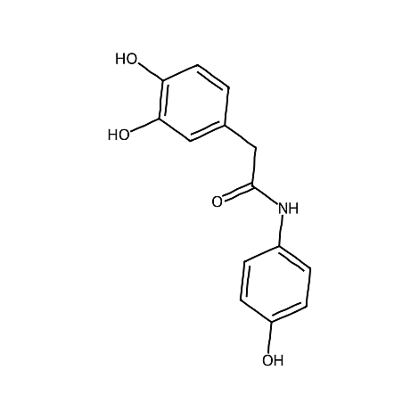 O=C(Cc1ccc(O)c(O)c1)Nc1ccc(O)cc1